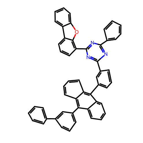 c1ccc(-c2cccc(-c3c4ccccc4c(-c4cccc(-c5nc(-c6ccccc6)nc(-c6cccc7c6oc6ccccc67)n5)c4)c4ccccc34)c2)cc1